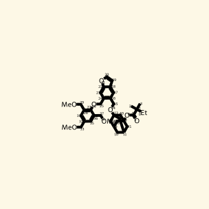 CCC(C)(C)C(=O)OC12CC3CC(CC(OCc4cc5ccoc5cc4COc4c(COC)cc(COC)cc4COC)(C3)C1)C2